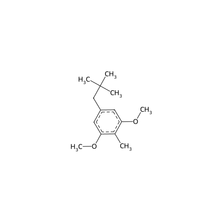 COc1cc(CC(C)(C)C)cc(OC)c1C